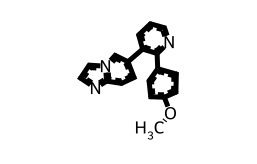 COc1ccc(-c2ncccc2-c2ccc3nccn3c2)cc1